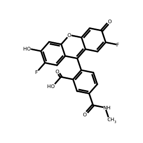 CNC(=O)c1ccc(-c2c3cc(F)c(=O)cc-3oc3cc(O)c(F)cc23)c(C(=O)O)c1